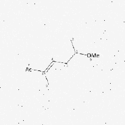 COC(C)CC=C(C)C(C)=O